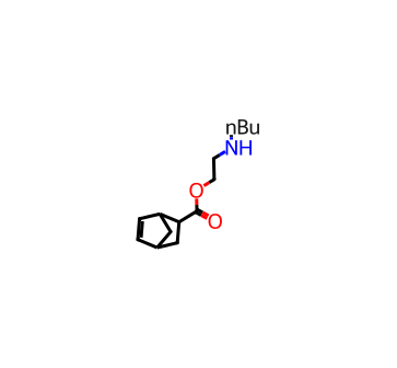 CCCCNCCOC(=O)C1CC2C=CC1C2